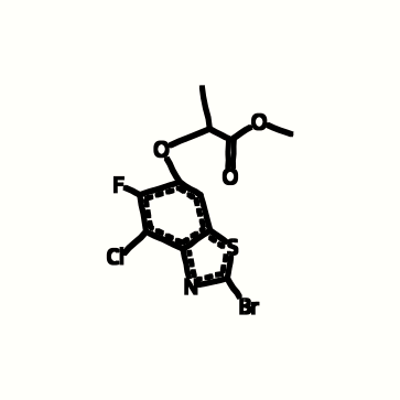 COC(=O)C(C)Oc1cc2sc(Br)nc2c(Cl)c1F